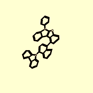 c1ccc(-n2c3ccccc3c3c4c(-c5ccc(-n6c7ccccc7c7ccccc76)c6ccccc56)cccc4oc32)cc1